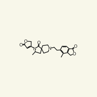 Cc1c(CCN2CCC3(CC2)CC(C)N(C2=CC(=O)OC2)C3=O)ccc2c1COC2=O